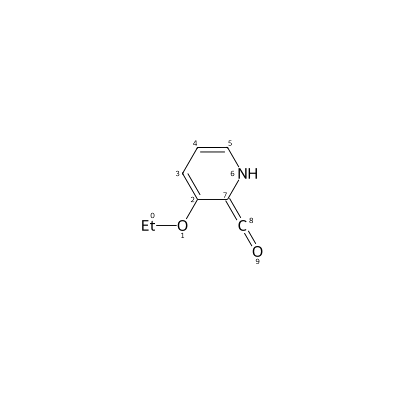 CCOC1=CC=CNC1=C=O